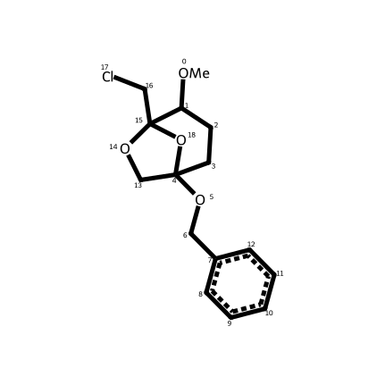 COC1CCC2(OCc3ccccc3)COC1(CCl)O2